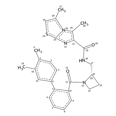 Cc1ccc(-c2ccccc2C(=O)N2CC[C@H]2CNC(=O)c2nc3scc(C)n3c2C)cc1C